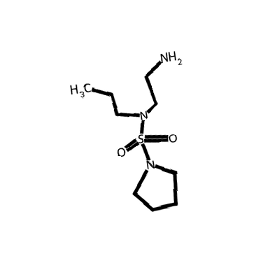 CCCN(CCN)S(=O)(=O)N1CCCC1